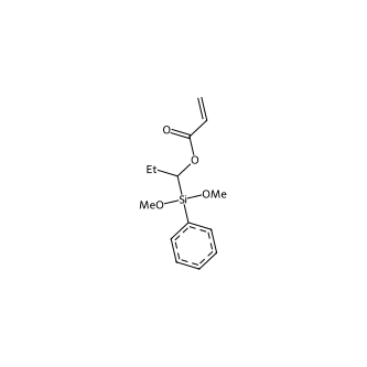 C=CC(=O)OC(CC)[Si](OC)(OC)c1ccccc1